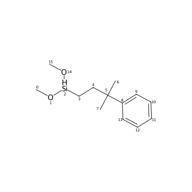 CO[SiH](CCC(C)(C)c1ccccc1)OC